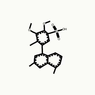 COc1c(S(=O)(=O)O)cc(-c2cc(C)cc3c(C)cccc23)c(C)c1OC